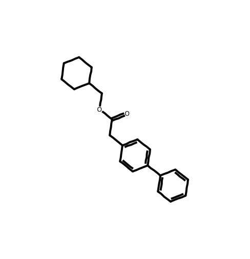 O=C(Cc1ccc(-c2ccccc2)cc1)OCC1CCCCC1